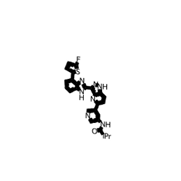 CC(C)C(=O)Nc1cncc(-c2ccc3[nH]nc(-c4nc5c(-c6ccc(F)s6)cccc5[nH]4)c3n2)c1